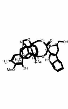 COc1c(C)cc2c(c1O)C1[C@@H]3[C@@H]4SC[C@]5(N[C@@H](CO)Cc6c5[nH]c5ccccc65)C(=O)OCC(c5c6c(c(C)c(OC(C)=O)c54)OCO6)N3C(C#N)(C2)CN1C